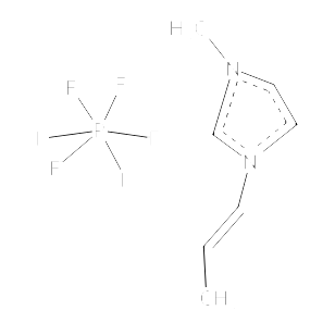 CC=C[n+]1ccn(C)c1.F[P-](F)(F)(F)(F)F